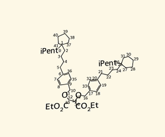 CCCC(C)C1(CCCCc2ccc(CO[C@@H](C(=O)OCC)[C@@H](OCc3ccc(CCCCC4(C(C)CCC)CCCCC4)cc3)C(=O)OCC)cc2)CCCCC1